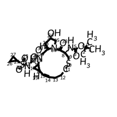 CC(C)(C)OC(=O)N[C@H]1CSCCC/C=C\[C@@H]2C[C@@]2(C(=O)NS(=O)(=O)C2CC2)NC(=O)[C@@H]2C[C@@H](O)CN2C1=O